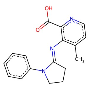 Cc1ccnc(C(=O)O)c1N=C1CCCN1c1ccccc1